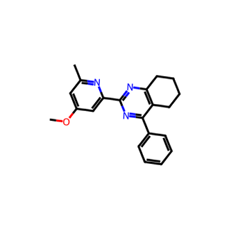 COc1cc(C)nc(-c2nc3c(c(-c4ccccc4)n2)CCCC3)c1